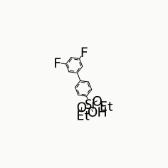 CCO[Si](O)(OCC)c1ccc(-c2cc(F)cc(F)c2)cc1